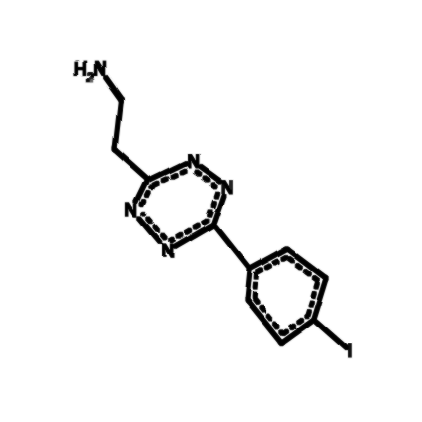 NCCc1nnc(-c2ccc(I)cc2)nn1